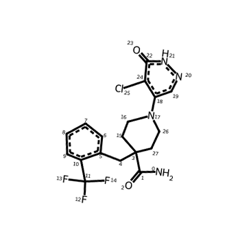 NC(=O)C1(Cc2ccccc2C(F)(F)F)CCN(c2cn[nH]c(=O)c2Cl)CC1